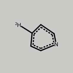 [2H]c1ccncc1